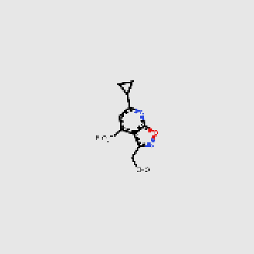 CCOC(=O)c1cc(C2CC2)nc2onc(CC=O)c12